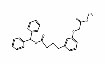 COC(=O)COc1cccc(CCCC(=O)OC(c2ccccc2)c2ccccc2)c1